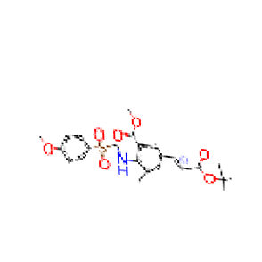 COC(=O)c1cc(/C=C/C(=O)OC(C)(C)C)cc(C)c1NCS(=O)(=O)c1ccc(OC)cc1